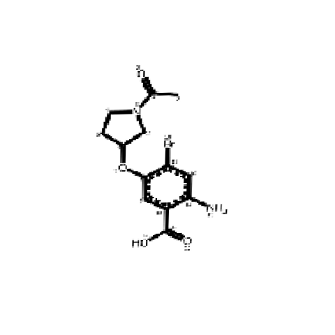 CC(=O)N1CCC(Oc2cc(C(=O)O)c(N)cc2Br)C1